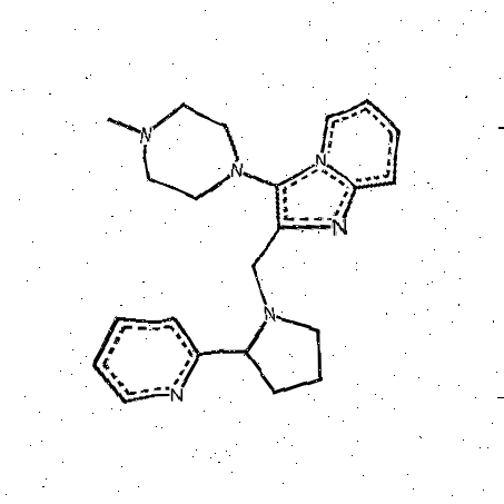 CN1CCN(c2c(CN3CCCC3c3ccccn3)nc3ccccn23)CC1